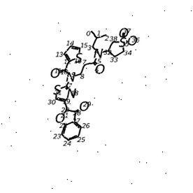 CC(C)CN(C(=O)CCN(C(=O)c1cccs1)c1nc(C2Oc3ccccc3C2=O)cs1)C1CCS(=O)(=O)C1